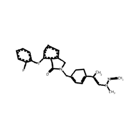 C=NN(C)/C=C(\C)C1=CC=C(CN2Cc3cccc(Sc4ccccc4F)c3C2=O)CC1